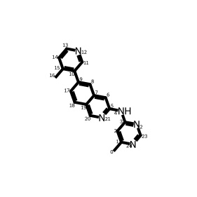 Cc1cc(Nc2cc3cc(-c4cnccc4C)ccc3cn2)ncn1